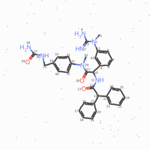 CN(C(=N)N)c1cccc(C(NC(=O)C(c2ccccc2)c2ccccc2)C(=O)N(C)c2ccc(CNC(N)=O)cc2)c1